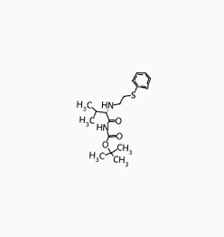 CC(C)[C@H](NCCSc1ccccc1)C(=O)NC(=O)OC(C)(C)C